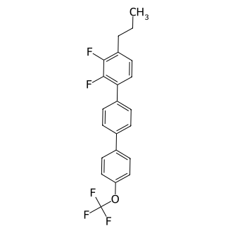 CCCc1ccc(-c2ccc(-c3ccc(OC(F)(F)F)cc3)cc2)c(F)c1F